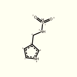 O=[SH](=O)NCc1cc[nH]c1